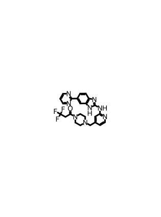 O=C(CC(F)(F)F)N1CCN(Cc2ccnc(Nc3nc4ccc(-c5ncccn5)cc4[nH]3)c2)CC1